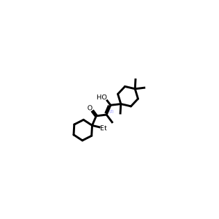 CCC1(C(=O)/C(C)=C(\O)C2(C)CCC(C)(C)CC2)CCCCC1